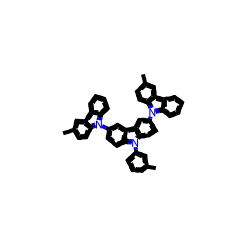 Cc1cccc(-n2c3ccc(-n4c5ccccc5c5cc(C)ccc54)cc3c3cc(-n4c5ccccc5c5cc(C)ccc54)ccc32)c1